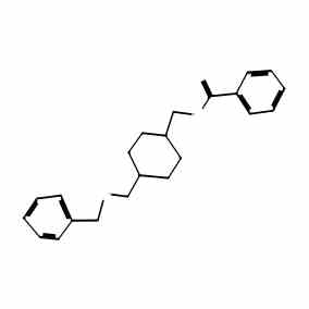 O=C(OCC1CCC(COCc2ccccc2)CC1)c1ccccc1